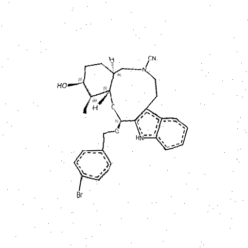 C[C@@H]1[C@H]2C[C@H](OCc3ccc(Br)cc3)c3[nH]c4ccccc4c3CCN(C#N)C[C@@H]2CC[C@@H]1O